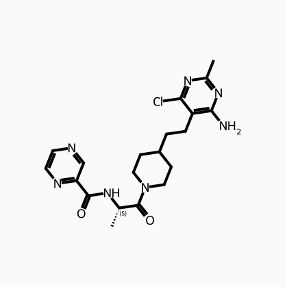 Cc1nc(N)c(CCC2CCN(C(=O)[C@H](C)NC(=O)c3cnccn3)CC2)c(Cl)n1